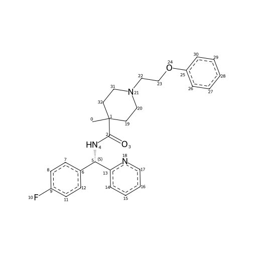 CC1(C(=O)N[C@@H](c2ccc(F)cc2)c2ccccn2)CCN(CCOc2ccccc2)CC1